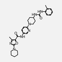 Cc1ccccc1NC(=O)NC1CCN(c2ccc(NC(=O)c3oc(N4CCCCC4)nc3C)cn2)CC1